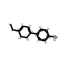 CCC1=CC=C(c2ccc(Br)cc2)CC1